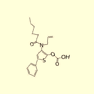 C=CCN(C(=O)CCCCC)c1cc(-c2ccccc2)sc1OC(=O)O